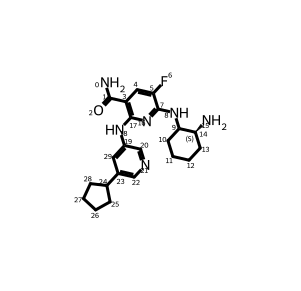 NC(=O)c1cc(F)c(NC2CCCC[C@@H]2N)nc1Nc1cncc(C2CCCC2)c1